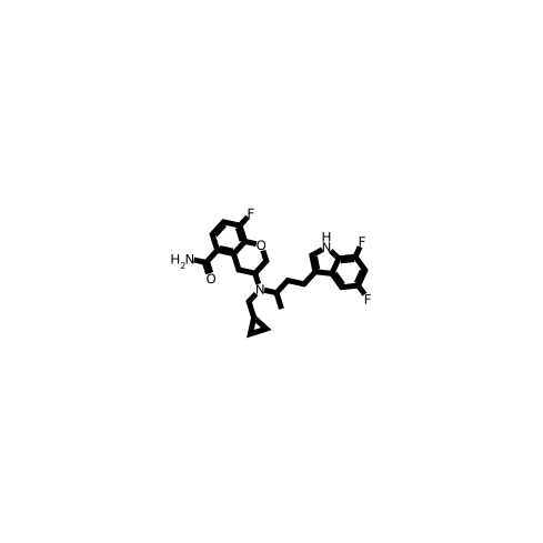 CC(CCc1c[nH]c2c(F)cc(F)cc12)N(CC1CC1)C1COc2c(F)ccc(C(N)=O)c2C1